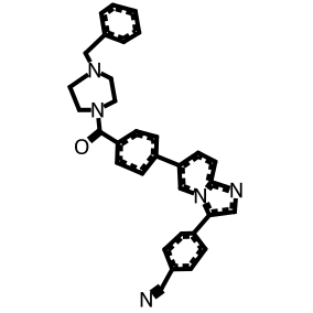 N#Cc1ccc(-c2cnc3ccc(-c4ccc(C(=O)N5CCN(Cc6ccccc6)CC5)cc4)cn23)cc1